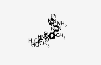 Cc1ccc(S(=O)(=O)NCCC(C)(C)O)cc1-c1cnc(N)c(-n2cnc(C(C)C)n2)n1